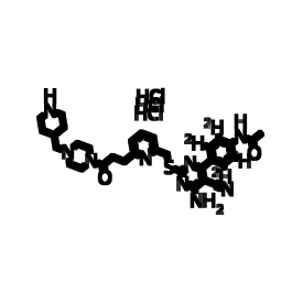 Cl.Cl.Cl.[2H]c1c([2H])c(-c2nc(SCc3cccc(CCC(=O)N4CCN(CC5CCNCC5)CC4)n3)nc(N)c2C#N)c([2H])c([2H])c1NC(C)=O